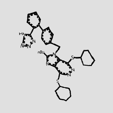 CCCCc1nc2c(SC3CCCCC3)nnc(SC3CCCCC3)c2n1Cc1ccc(-c2ccccc2-c2nnn[nH]2)cc1